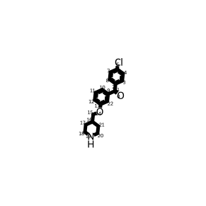 O=C(c1ccc(Cl)cc1)c1cccc(OCC2CCNCC2)c1